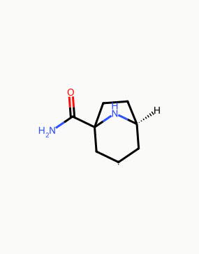 NC(=O)C12C[CH]C[C@H](CC1)N2